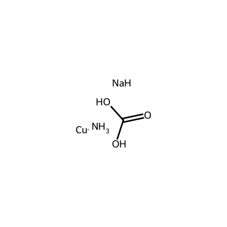 N.O=C(O)O.[Cu].[NaH]